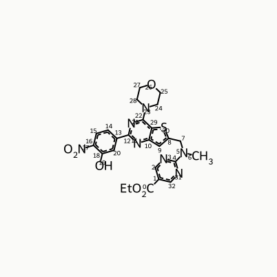 CCOC(=O)c1cnc(N(C)Cc2cc3nc(-c4ccc([N+](=O)[O-])c(O)c4)nc(N4CCOCC4)c3s2)nc1